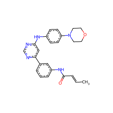 CC=CC(=O)Nc1cccc(-c2cc(Nc3ccc(N4CCOCC4)cc3)ncn2)c1